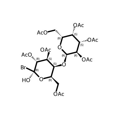 CC(=O)OC[C@H]1O[C@H](O[C@@H]2[C@H](OC(C)=O)[C@@H](OC(C)=O)[C@](O)(Br)O[C@@H]2COC(C)=O)[C@H](OC(C)=O)[C@@H](OC(C)=O)[C@H]1OC(C)=O